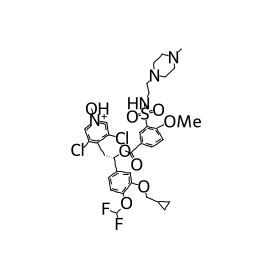 COc1ccc(C(=O)O[C@@H](Cc2c(Cl)c[n+](O)cc2Cl)c2ccc(OC(F)F)c(OCC3CC3)c2)cc1S(=O)(=O)NCCN1CCN(C)CC1